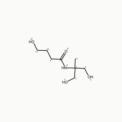 CC(CO)(CO)NC(=O)CCCO